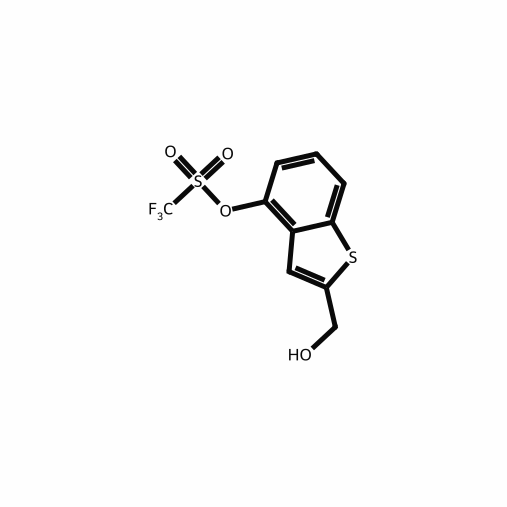 O=S(=O)(Oc1cccc2sc(CO)cc12)C(F)(F)F